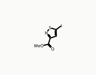 COC(=O)c1cc(I)sn1